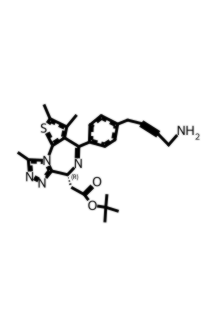 Cc1sc2c(c1C)C(c1ccc(CC#CCN)cc1)=N[C@H](CC(=O)OC(C)(C)C)c1nnc(C)n1-2